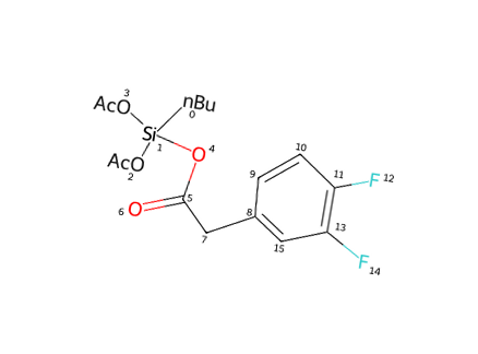 CCCC[Si](OC(C)=O)(OC(C)=O)OC(=O)Cc1ccc(F)c(F)c1